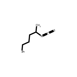 CC(C)CCCC(C)N=C=S